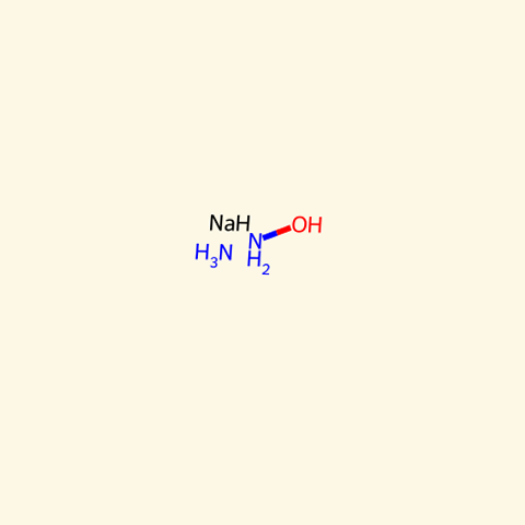 N.NO.[NaH]